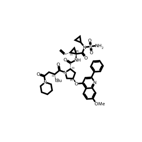 C=C[C@@H]1C[C@]1(NC(=O)[C@@H]1C[C@@H](Oc2cc(-c3ccccc3)nc3cc(OC)ccc23)CN1C(=O)[C@@H](CC(=O)N1CCCCC1)C(C)(C)C)C(=O)N(C1CC1)S(N)(=O)=O